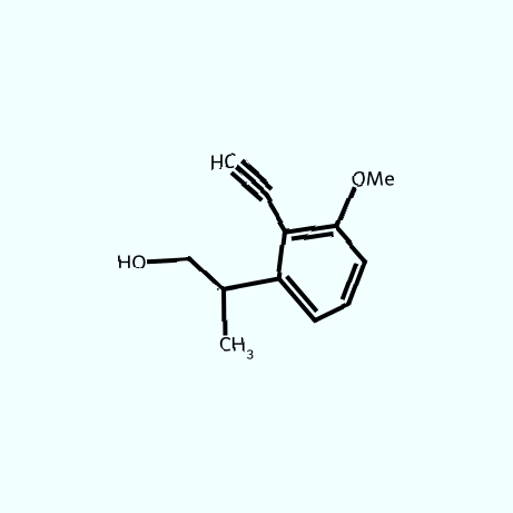 C#Cc1c(OC)cccc1[C](C)CO